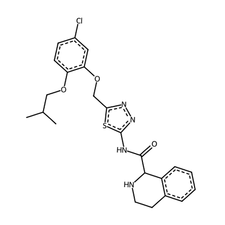 CC(C)COc1ccc(Cl)cc1OCc1nnc(NC(=O)C2NCCc3ccccc32)s1